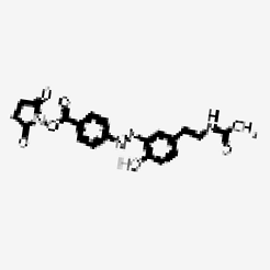 CC(=O)NCCc1ccc(O)c(/N=N/c2ccc(C(=O)ON3C(=O)CCC3=O)cc2)c1